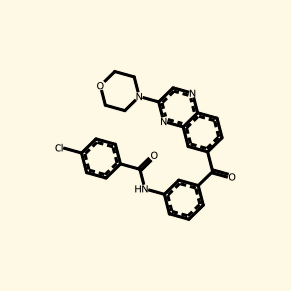 O=C(Nc1cccc(C(=O)c2ccc3ncc(N4CCOCC4)nc3c2)c1)c1ccc(Cl)cc1